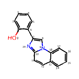 Oc1ccccc1-c1cn2c(ccc3ccccc32)n1